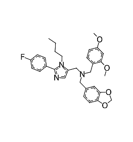 CCCCn1c(CN(Cc2ccc3c(c2)OCO3)Cc2ccc(OC)cc2OC)cnc1-c1ccc(F)cc1